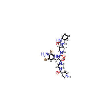 CN1CCC(C(=O)N2CCN(C(=O)[C@@H](Cc3cc(Br)c(N)c(Br)c3)NC(=O)N3CCC(N4Cc5ccccc5NC4=O)CC3)CC2)CC1